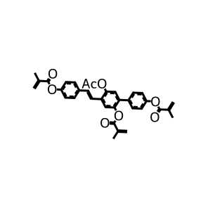 C=C(C)C(=O)Oc1ccc(/C=C/c2cc(OC(=O)C(=C)C)c(-c3ccc(OC(=O)C(=C)C)cc3)cc2OC(C)=O)cc1